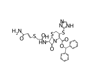 NC(=O)/C=C/SCC(=O)N[C@@H]1C(=O)N2C(C(=O)OC(c3ccccc3)c3ccccc3)=C(Sc3nnc[nH]3)CS[C@H]12